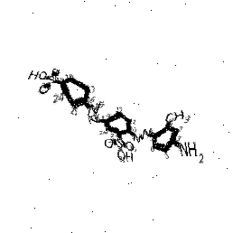 Cc1cc(N)ccc1N=NC1CC=C(N=Nc2ccc(S(=O)(=O)O)cc2)C=C1S(=O)(=O)O